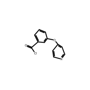 O=C(Cl)c1cccc(Oc2ccncc2)c1